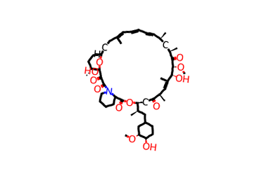 CO[C@@H]1CC(C[C@@H](C)[C@@H]2CC(=O)[C@H](C)/C=C(\C)[C@@H](O)[C@@H](OC)C(=O)[C@H](C)C[C@H](C)/C=C/C=C/C=C(\C)CC[C@@H]3CC[C@@H](C)[C@@](O)(O3)C(=O)C(=O)N3CCCCC3C(=O)O2)CC[C@H]1O